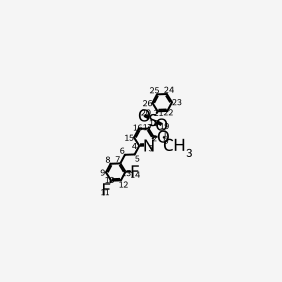 COc1nc(CCc2ccc(F)cc2F)ccc1S(=O)(=O)c1ccccc1